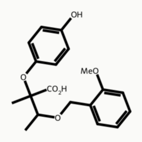 COc1ccccc1COC(C)C(C)(Oc1ccc(O)cc1)C(=O)O